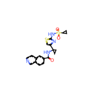 O=C(NC1(c2csc(NS(=O)(=O)C3CC3)n2)CC1)c1ccc2cnccc2c1